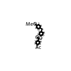 COc1ccc(Cc2ccc(OC(=O)c3ccc(C(C)=O)cc3)cc2)cc1